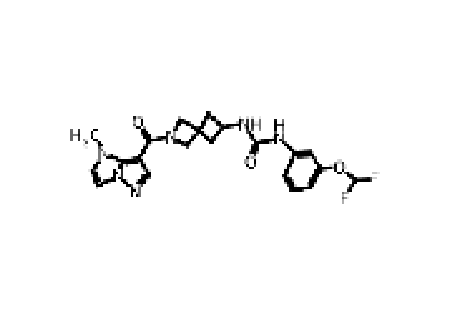 Cn1ccn2ncc(C(=O)N3CC4(CC(NC(=O)Nc5cccc(OC(F)F)c5)C4)C3)c12